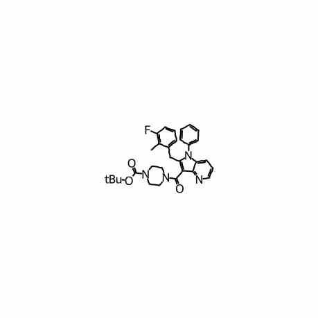 Cc1c(F)cccc1Cc1c(C(=O)N2CCN(C(=O)OC(C)(C)C)CC2)c2ncccc2n1-c1ccccc1